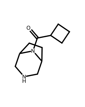 O=C(C1CCC1)N1C2CCC1CNC2